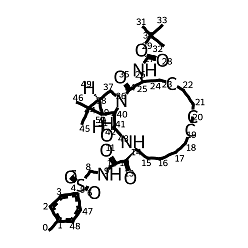 Cc1ccc(S(=O)(=O)CNC(=O)C(=O)[C@@H]2CCCCCCCCCC[C@H](NC(=O)OC(C)(C)C)C(=O)N3C[C@H]4[C@@H]([C@H]3C(=O)N2)C4(C)C)cc1